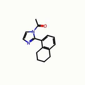 CC(=O)n1ccnc1-c1cccc2c1CCCC2